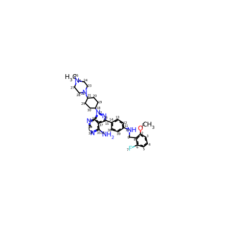 COc1cccc(F)c1CNc1ccc(-c2nn(C3CCC(N4CCN(C)CC4)CC3)c3ncnc(N)c23)cc1